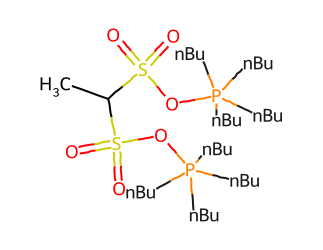 CCCCP(CCCC)(CCCC)(CCCC)OS(=O)(=O)C(C)S(=O)(=O)OP(CCCC)(CCCC)(CCCC)CCCC